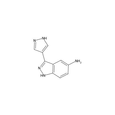 Nc1ccc2[nH]nc(-c3cn[nH]c3)c2c1